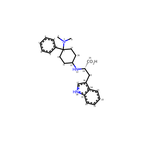 CN(C)C1(c2ccccc2)CCC(N[C@@H](Cc2c[nH]c3ccccc23)C(=O)O)CC1